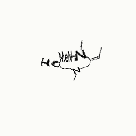 C/C=C(/CN(C)CCO)N(C)NC